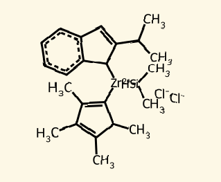 CC1=C(C)C(C)[C]([Zr+2]([CH]2C(C(C)C)=Cc3ccccc32)[SiH](C)C)=C1C.[Cl-].[Cl-]